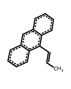 C/C=C/c1c2ccccc2cc2ccccc12